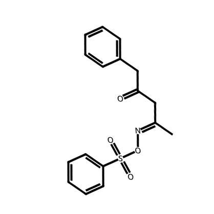 CC(CC(=O)Cc1ccccc1)=NOS(=O)(=O)c1ccccc1